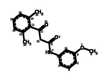 COc1cccc(NC(=O)CC(=O)c2c(C)cccc2C)c1